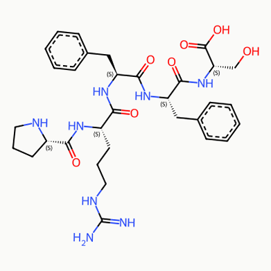 N=C(N)NCCC[C@H](NC(=O)[C@@H]1CCCN1)C(=O)N[C@@H](Cc1ccccc1)C(=O)N[C@@H](Cc1ccccc1)C(=O)N[C@@H](CO)C(=O)O